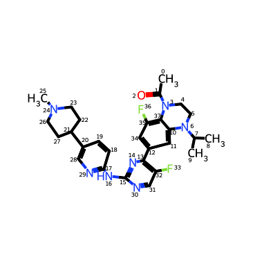 CC(=O)N1CCN(C(C)C)c2cc(-c3nc(Nc4ccc(C5CCN(C)CC5)cn4)ncc3F)cc(F)c21